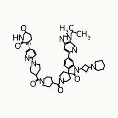 CC(C)n1cnc2cc(-c3ccc4c(c3)N(C3CC(N5CCCCC5)C3)C(=O)C43CCN(C(=O)C4CCN(C(=O)C5CCN(c6ccc([C@H]7CCC(=O)NC7=O)cn6)CC5)CC4)CC3)ncc21